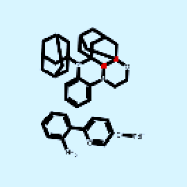 Nc1ccccc1-c1[c-]cccc1.[Cl][Pd+].c1ccc(P(C23CC4CC(CC(C4)C2)C3)C23CC4CC(CC(C4)C2)C3)c(N2CCOCC2)c1